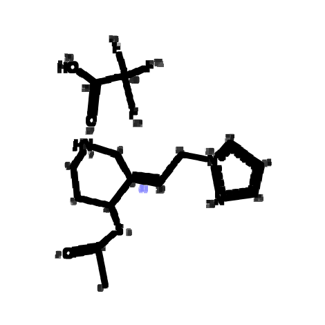 CC(=O)SC1CCNC/C1=C\Cn1cccn1.O=C(O)C(F)(F)F